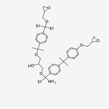 CCC(N)(OCC(O)COC(C)(C)c1ccc(C(CC)(CC)OCC2CO2)cc1)c1ccc(C(C)(C)c2ccc(OCC3CO3)cc2)cc1